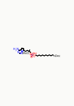 CCCCCCCCCCCCCCCCCCCCCOP(=O)(O)OC[C@](C)(CCc1ccc2c(N)ncnn12)OC